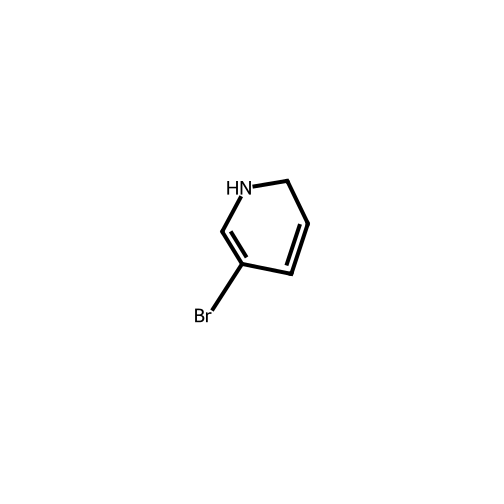 BrC1=CNCC=C1